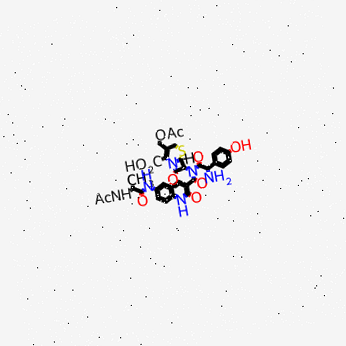 CC(=O)NC(C)C(=O)Nc1ccc2[nH]c(=O)c(C(=O)N(C(=O)C(N)c3ccc(O)cc3)C3C(=O)N4C(C(=O)O)=C(COC(C)=O)CS[C@@H]34)cc2c1